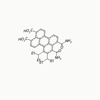 CCC(CC)c1c(C(N)=O)c2c(C(N)=O)ccc3c4ccc(C(=O)O)c5c(C(=O)O)ccc(c(c1C(CC)CC)c23)c54